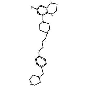 Fc1cc2c(c(N3CCN(CCCOc4ccc(CN5CCOCC5)cc4)CC3)c1)OCCO2